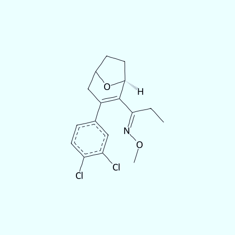 CCC(=NOC)C1=C(c2ccc(Cl)c(Cl)c2)CC2CC[C@@H]1O2